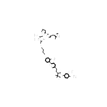 Cc1ncsc1-c1cnc([C@@H]2C[C@@H](O)CN2C(=O)[C@@H](NC(=O)COCCCCOc2ccc(-c3ncc(CCC4C(=S)N(c5ccc(C#N)c(C(F)(F)F)c5F)C(=O)C4(C)C)cc3F)c(C(F)(F)F)c2)C(C)(C)C)o1